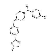 C[C@@H]1CN=C(c2ccc(CC3CCN(C(=O)c4ccc(Cl)cc4)CC3)cc2)O1